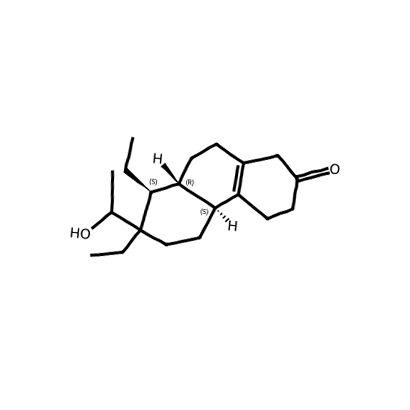 CC[C@H]1[C@@H]2CCC3=C(CCC(=O)C3)[C@H]2CCC1(CC)C(C)O